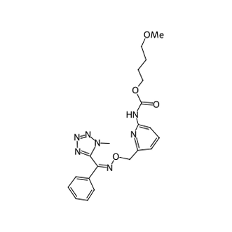 COCCCCOC(=O)Nc1cccc(CO/N=C(/c2ccccc2)c2nnnn2C)n1